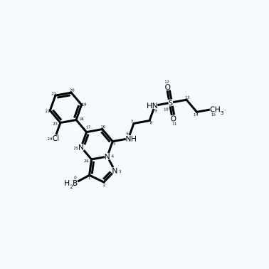 Bc1cnn2c(NCCNS(=O)(=O)CCC)cc(-c3ccccc3Cl)nc12